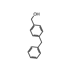 OCc1ccc(Cc2[c]cccc2)cc1